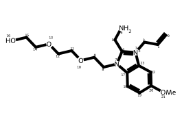 C=CC[n+]1c(CN)n(CCOCCOCCO)c2ccc(OC)cc21